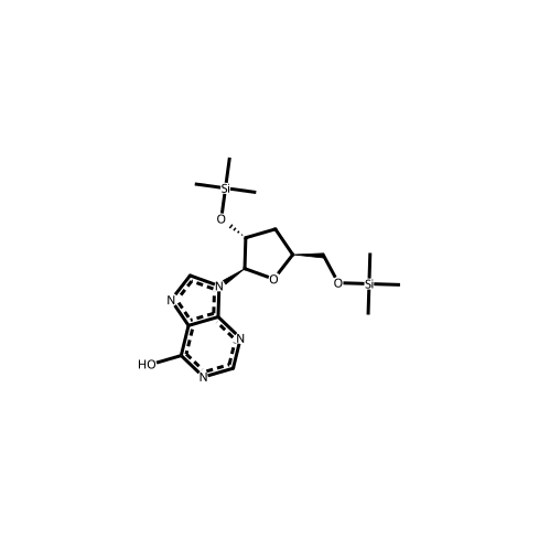 C[Si](C)(C)OC[C@@H]1C[C@@H](O[Si](C)(C)C)[C@H](n2cnc3c(O)ncnc32)O1